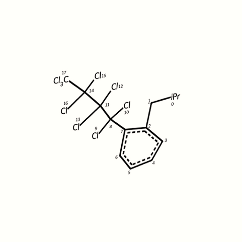 CC(C)[CH]c1ccccc1C(Cl)(Cl)C(Cl)(Cl)C(Cl)(Cl)C(Cl)(Cl)Cl